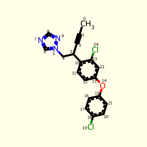 CC#CC(Cn1cncn1)c1ccc(Oc2ccc(Cl)cc2)cc1Cl